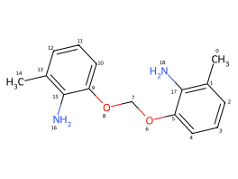 Cc1cccc(OCOc2cccc(C)c2N)c1N